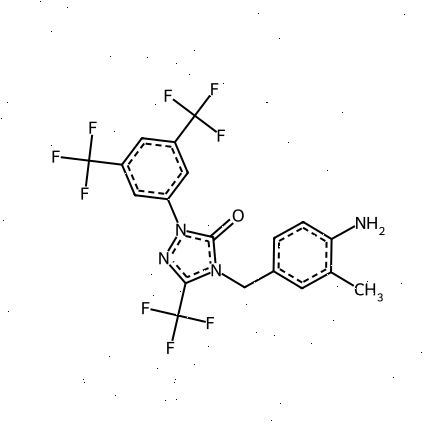 Cc1cc(Cn2c(C(F)(F)F)nn(-c3cc(C(F)(F)F)cc(C(F)(F)F)c3)c2=O)ccc1N